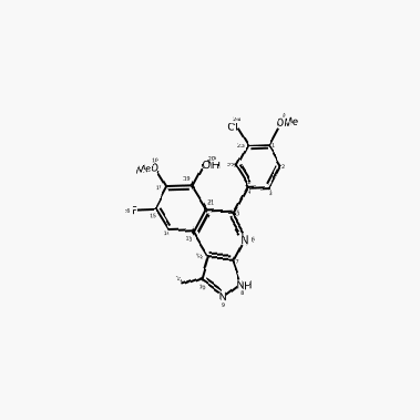 COc1ccc(-c2nc3[nH]nc(C)c3c3cc(F)c(OC)c(O)c23)cc1Cl